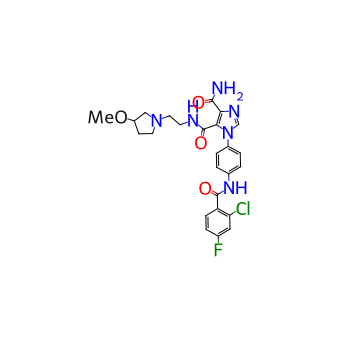 COC1CCN(CCNC(=O)c2c(C(N)=O)ncn2-c2ccc(NC(=O)c3ccc(F)cc3Cl)cc2)C1